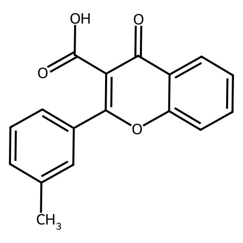 Cc1cccc(-c2oc3ccccc3c(=O)c2C(=O)O)c1